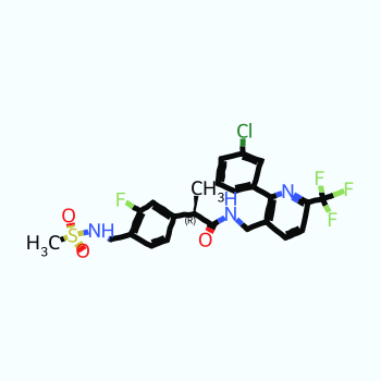 C[C@@H](C(=O)NCc1ccc(C(F)(F)F)nc1-c1cccc(Cl)c1)c1ccc(CNS(C)(=O)=O)c(F)c1